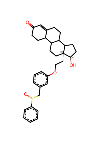 O=C1C=C2CCC3C(CC[C@@]4(CCOc5cccc(C[S+]([O-])c6ccccc6)c5)C3CC[C@@H]4O)C2CC1